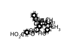 Cc1c(C(=O)N(C)c2ccc(O)cc2)cc(-c2cc3c(cc2C(=O)N2Cc4ccccc4C[C@H]2C)CN(C(=O)Oc2ccc(C(=O)O)cc2)CC3)n1C